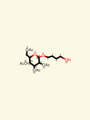 CC(=O)OCC1O[C@@H](OCCCCO)C(OC(C)=O)C(OC(C)=O)[C@@H]1OC(C)=O